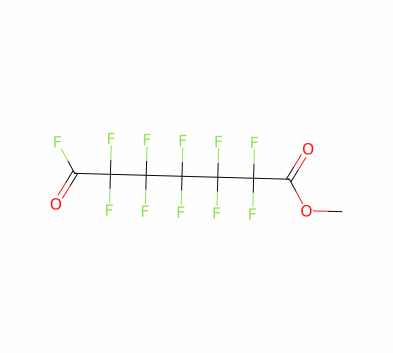 COC(=O)C(F)(F)C(F)(F)C(F)(F)C(F)(F)C(F)(F)C(=O)F